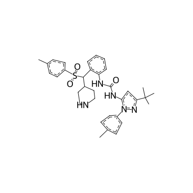 Cc1ccc(-n2nc(C(C)(C)C)cc2NC(=O)Nc2ccccc2C(C2CCNCC2)S(=O)(=O)c2ccc(C)cc2)cc1